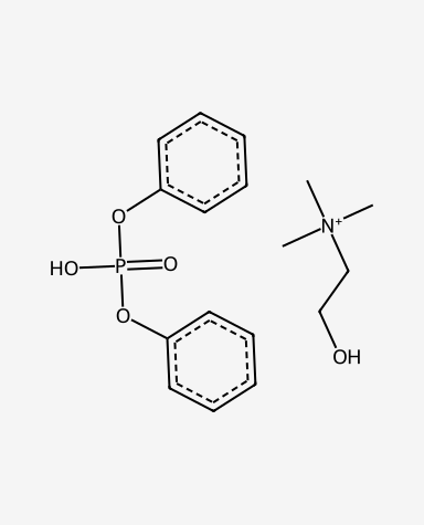 C[N+](C)(C)CCO.O=P(O)(Oc1ccccc1)Oc1ccccc1